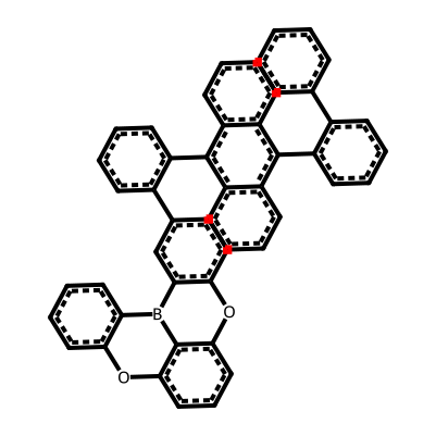 c1ccc(-c2ccccc2-c2c3ccccc3c(-c3ccccc3-c3ccc4c(c3)B3c5ccccc5Oc5cccc(c53)O4)c3ccccc23)cc1